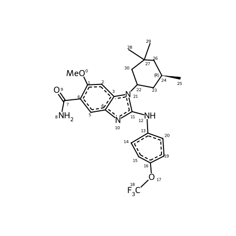 COc1cc2c(cc1C(N)=O)nc(Nc1ccc(OC(F)(F)F)cc1)n2C1C[C@H](C)CC(C)(C)C1